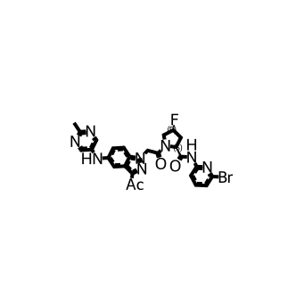 CC(=O)c1nn(CC(=O)N2C[C@H](F)C[C@H]2C(=O)Nc2cccc(Br)n2)c2ccc(Nc3cnc(C)nc3)cc12